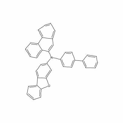 c1ccc(-c2ccc(N(c3ccc4c(c3)oc3ccccc34)c3cc4ccccc4c4ccccc34)cc2)cc1